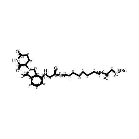 CC(C)(C)OCC(=O)NCCCCCCCCNC(=O)CNc1cccc2c1CN(C1CCC(=O)NC1=O)C2=O